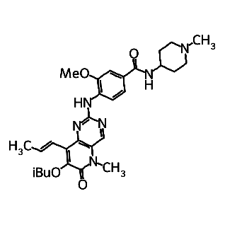 CC=Cc1c(OCC(C)C)c(=O)n(C)c2cnc(Nc3ccc(C(=O)NC4CCN(C)CC4)cc3OC)nc12